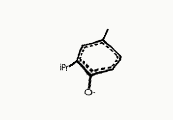 Cc1ccc([O])c(C(C)C)c1